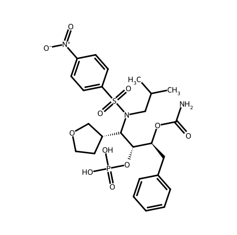 CC(C)CN(C([C@@H]1CCOC1)[C@@H](OP(=O)(O)O)[C@H](Cc1ccccc1)OC(N)=O)S(=O)(=O)c1ccc([N+](=O)[O-])cc1